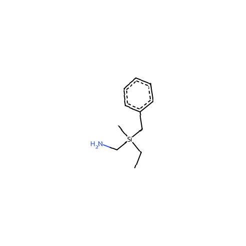 CC[Si](C)(CN)Cc1ccccc1